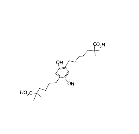 CC(C)(CCCCCc1cc(O)c(CCCCC(C)(C)C(=O)O)cc1O)C(=O)O